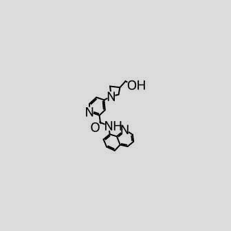 O=C(Nc1cccc2cccnc12)c1cc(N2CC(CO)C2)ccn1